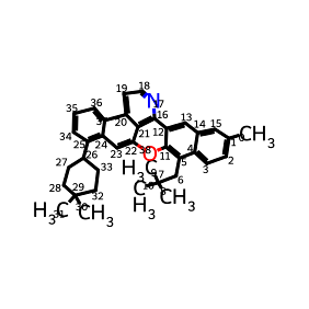 Cc1ccc2c(CC(C)(C)C)c3c(cc2c1)-c1nccc2c1c(cc1c(C4CCC(C)(C)CC4)cccc12)O3